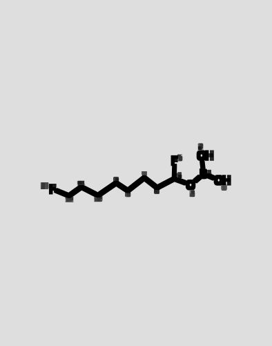 OB(O)OC(F)CCCCCCCF